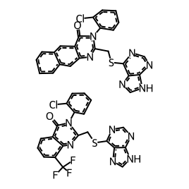 O=c1c2cc3ccccc3cc2nc(CSc2ncnc3[nH]cnc23)n1-c1ccccc1Cl.O=c1c2cccc(C(F)(F)F)c2nc(CSc2ncnc3[nH]cnc23)n1-c1ccccc1Cl